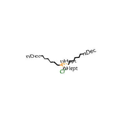 CCCCCCCCCCCCCCCC[P+](CCCCCCC)(CCCCCCC)CCCCCCCCCCCCCCCC.[Cl-]